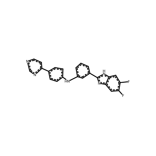 Fc1cc2nc(-c3cccc(Nc4ccc(-c5ccncn5)cc4)c3)[nH]c2cc1F